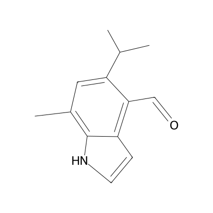 Cc1cc(C(C)C)c(C=O)c2cc[nH]c12